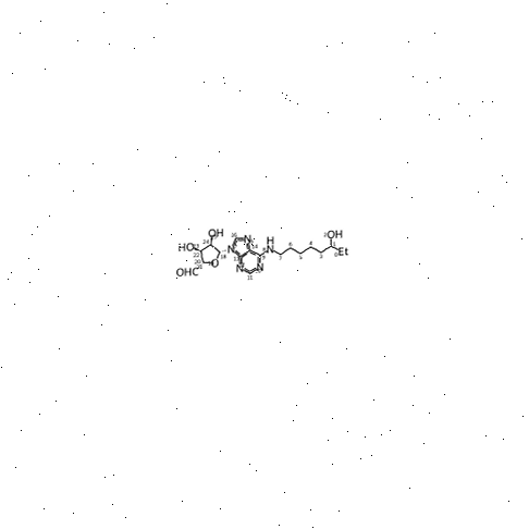 CCC(O)CCCCCNc1ncnc2c1ncn2[C@@H]1O[C@H](C=O)[C@@H](O)[C@H]1O